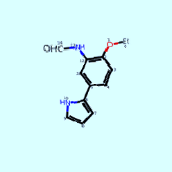 CCOc1ccc(-c2ccc[nH]2)cc1NC=O